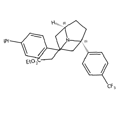 CCOC(=O)CC1C[C@H]2CC[C@@](c3ccc(C(F)(F)F)cc3)(C1)N2Cc1ccc(C(C)C)cc1